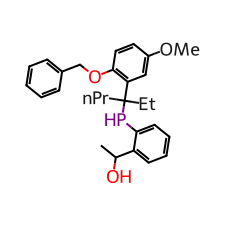 CCCC(CC)(Pc1ccccc1C(C)O)c1cc(OC)ccc1OCc1ccccc1